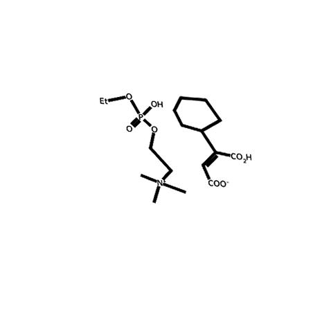 CCOP(=O)(O)OCC[N+](C)(C)C.O=C([O-])/C=C(\C(=O)O)C1CCCCC1